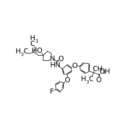 CCC(CC)CC1(O)CCN(C(=O)Nc2cc(Oc3ccc(F)cc3)cc(Oc3ccc(C(C)(C)C(=O)O)cc3)c2)CC1